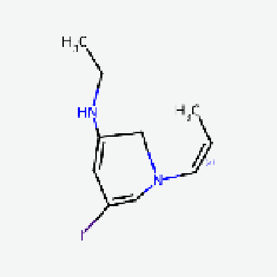 C/C=C\N1C=C(I)C=C(NCC)C1